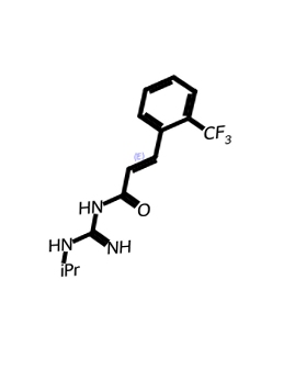 CC(C)NC(=N)NC(=O)/C=C/c1ccccc1C(F)(F)F